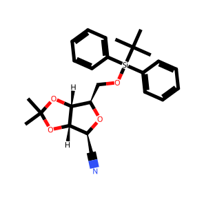 CC1(C)O[C@@H]2[C@H](O1)[C@@H](CO[Si](c1ccccc1)(c1ccccc1)C(C)(C)C)O[C@H]2C#N